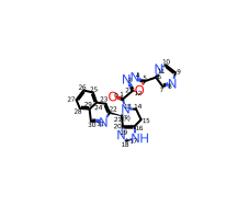 O=C(c1nnc(-c2cnccn2)o1)N1CCc2[nH]cnc2[C@H]1c1cc2ccccc2cn1